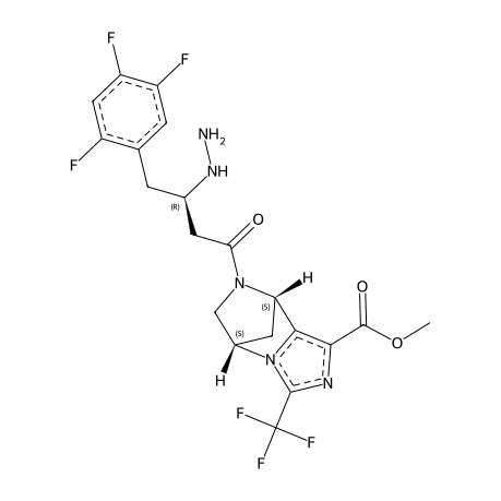 COC(=O)c1nc(C(F)(F)F)n2c1[C@@H]1C[C@H]2CN1C(=O)C[C@@H](Cc1cc(F)c(F)cc1F)NN